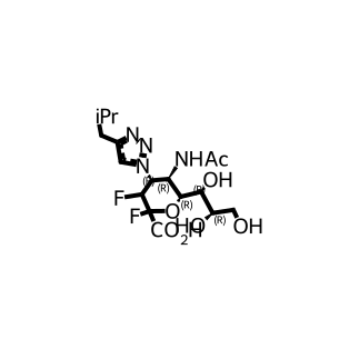 CC(=O)N[C@H]1[C@H]([C@H](O)[C@H](O)CO)OC(F)(C(=O)O)C(F)[C@@H]1n1cc(CC(C)C)nn1